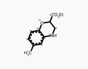 CCOC(=O)C1CNc2cc(C)ccc2O1